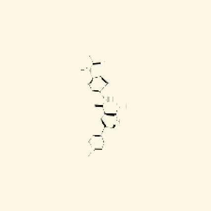 CC(=O)Nc1ccc(NC(=O)c2cc(C3=CCN(C)CC3)cnc2N)cc1